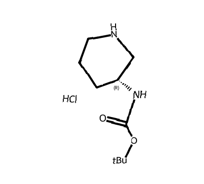 CC(C)(C)OC(=O)N[C@@H]1CCCNC1.Cl